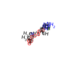 C#C[C@@]1(COC(=O)CCCN(C)C(=O)OCc2oc(=O)oc2C)CC[C@H](n2cnc3c(N)nc(F)nc32)O1